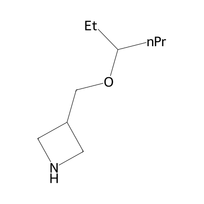 CCCC(CC)OCC1CNC1